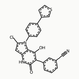 N#Cc1cccc(-c2c(O)c3c(cc(Cl)n3-c3ccc(-c4ccsc4)cc3)[nH]c2=O)c1